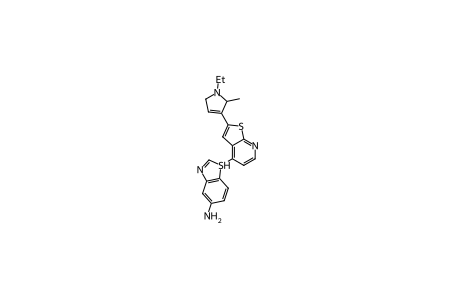 CCN1CC=C(c2cc3c([SH]4C=Nc5cc(N)ccc54)ccnc3s2)C1C